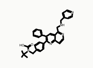 CC(C)(C)N(Cc1ccc(-c2nc3ccnc(CNCc4ccncc4)c3cc2-c2ccccc2)cc1)C(=O)O